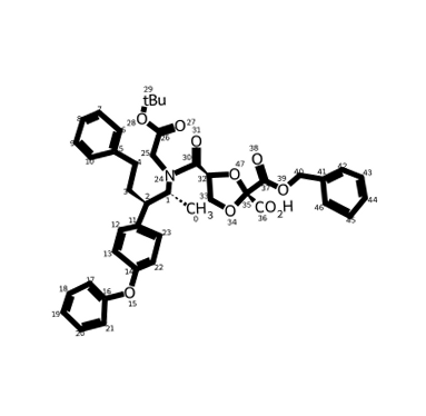 C[C@H]([C@H](CCc1ccccc1)c1ccc(Oc2ccccc2)cc1)N(CC(=O)OC(C)(C)C)C(=O)[C@@H]1CO[C@@](C(=O)O)(C(=O)OCc2ccccc2)O1